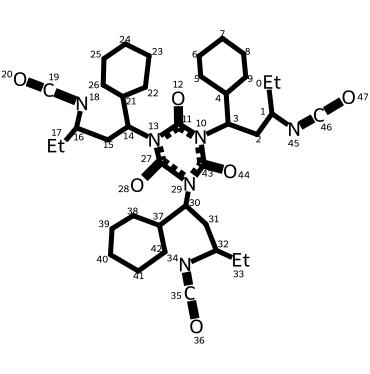 CCC(CC(C1CCCCC1)n1c(=O)n(C(CC(CC)N=C=O)C2CCCCC2)c(=O)n(C(CC(CC)N=C=O)C2CCCCC2)c1=O)N=C=O